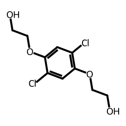 OCCOc1cc(Cl)c(OCCO)cc1Cl